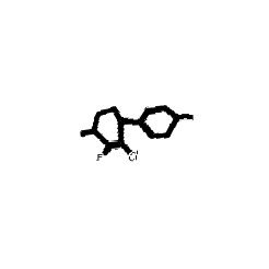 CC1CC=C(C2CCC(C)C(F)C2Cl)CC1